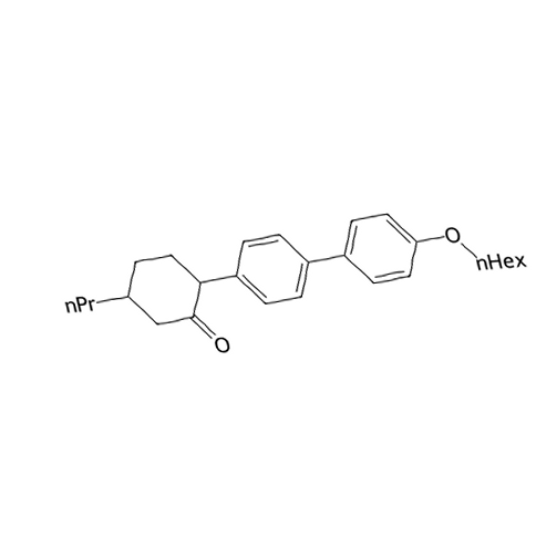 CCCCCCOc1ccc(-c2ccc(C3CCC(CCC)CC3=O)cc2)cc1